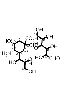 N[C@@H]1[C@@H](O)CC(O)(C(=O)O)O[C@H]1C(O)C(O)CO.O=CC(O)C(O)C(O)C(O)CO